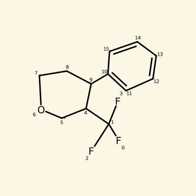 FC(F)(F)C1[CH]OCCC1c1ccccc1